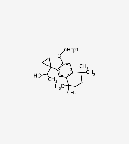 CCCCCCCOc1cc2c(cc1C1(C(C)O)CC1)C(C)(C)CCC2(C)C